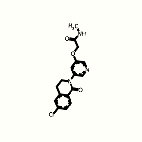 CNC(=O)COc1cncc(N2CCc3cc(Cl)ccc3C2=O)c1